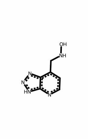 ONCc1ccnc2[nH]nnc12